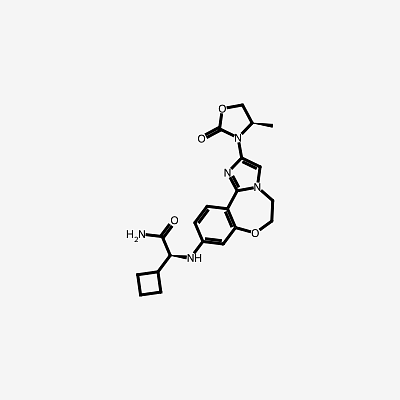 C[C@@H]1COC(=O)N1c1cn2c(n1)-c1ccc(N[C@H](C(N)=O)C3CCC3)cc1OCC2